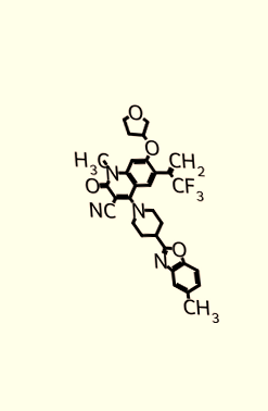 C=C(c1cc2c(N3CCC(c4nc5cc(C)ccc5o4)CC3)c(C#N)c(=O)n(C)c2cc1OC1CCOC1)C(F)(F)F